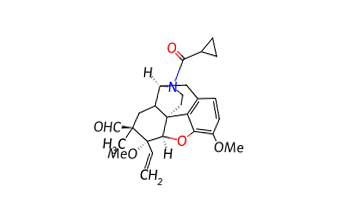 C=C[C@]1(OC)[C@@H]2Oc3c(OC)ccc4c3[C@@]23CCN(C(=O)C2CC2)[C@H](C4)C3C[C@]1(C)C=O